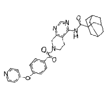 O=C(Nc1ncnc2c1CCN(S(=O)(=O)c1ccc(Oc3ccncc3)cc1)C2)C12CC3CC(CC(C3)C1)C2